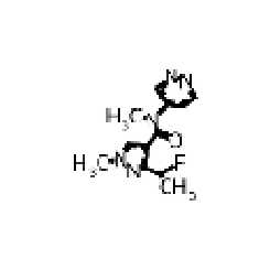 CC(F)c1nn(C)cc1C(=O)N(C)c1ccnnc1